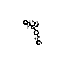 Nc1nccn2c(C3CCC(C(=O)Nc4cccnc4)CC3)nc(-c3cc4ccccc4[nH]3)c12